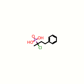 CC(Cl)(CCc1ccccc1)P(=O)(O)O